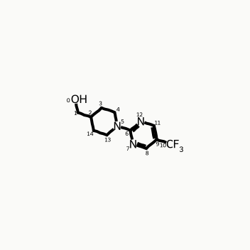 OCC1CCN(c2ncc(C(F)(F)F)cn2)CC1